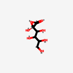 O=C1O[C@]1(O)C(O)C(O)C(O)CO